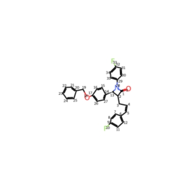 O=C1C(C/C=C\c2ccc(F)cc2)[C@@H](c2ccc(OCc3ccccc3)cc2)N1c1ccc(F)cc1